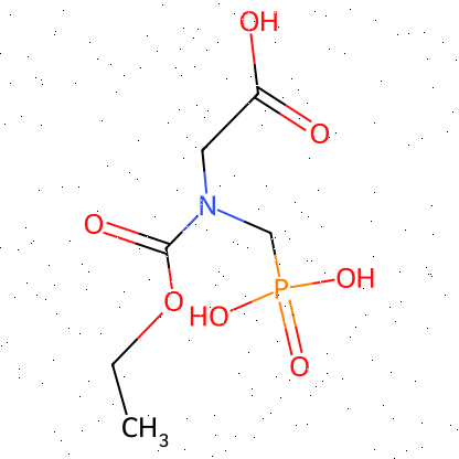 CCOC(=O)N(CC(=O)O)CP(=O)(O)O